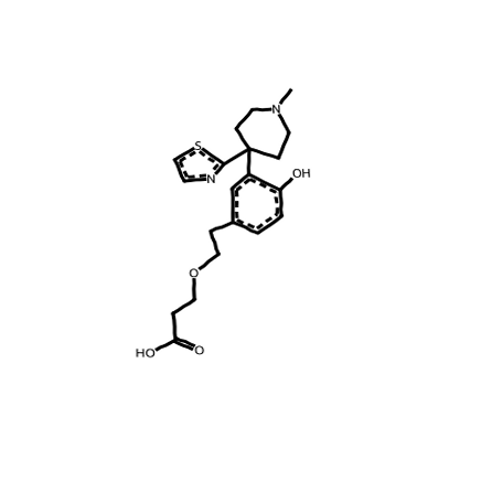 CN1CCC(c2nccs2)(c2cc(CCOCCC(=O)O)ccc2O)CC1